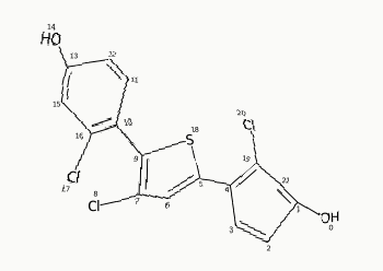 Oc1ccc(-c2cc(Cl)c(-c3ccc(O)cc3Cl)s2)c(Cl)c1